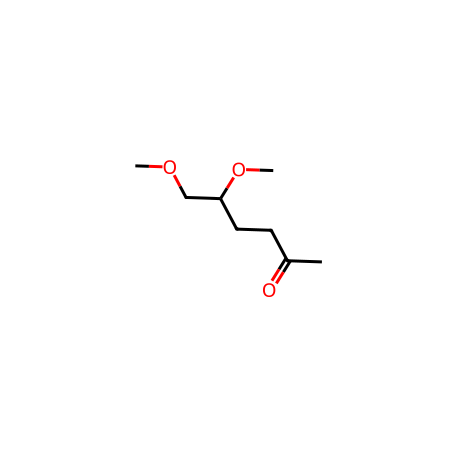 COCC(CCC(C)=O)OC